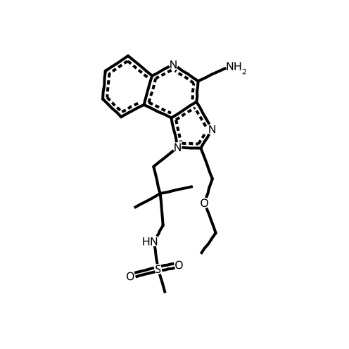 CCOCc1nc2c(N)nc3ccccc3c2n1CC(C)(C)CNS(C)(=O)=O